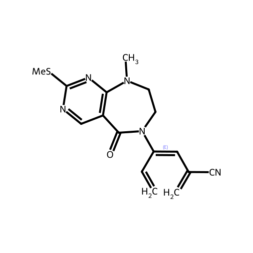 C=C/C(=C\C(=C)C#N)N1CCN(C)c2nc(SC)ncc2C1=O